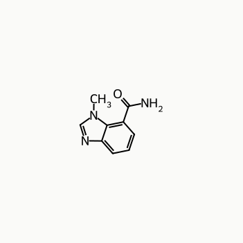 Cn1cnc2cccc(C(N)=O)c21